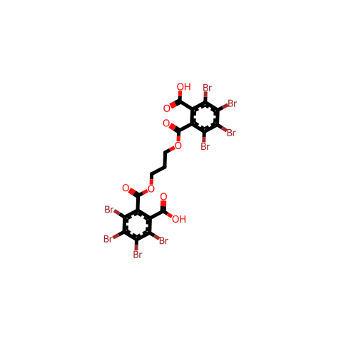 O=C(O)c1c(Br)c(Br)c(Br)c(Br)c1C(=O)OCCCOC(=O)c1c(Br)c(Br)c(Br)c(Br)c1C(=O)O